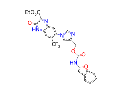 CCOC(=O)c1nc2cc(-n3cnc(COC(=O)Nc4cc5ccccc5o4)c3)c(C(F)(F)F)cc2[nH]c1=O